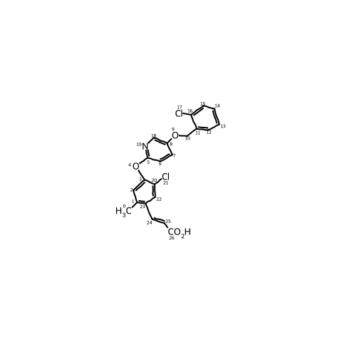 Cc1cc(Oc2ccc(OCc3ccccc3Cl)cn2)c(Cl)cc1C=CC(=O)O